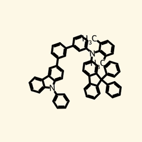 Cc1cccc(C)c1N(c1cccc(-c2cccc(-c3ccc4c(c3)c3ccccc3n4-c3ccccc3)c2)c1)c1ccc2c(c1)C(c1ccccc1)(c1ccccc1)c1ccccc1-2